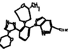 C[C@@H]1CN(c2c(-c3nncn3C3CCCCO3)cccc2-n2ncc3cc(C=O)cnc32)CCO1